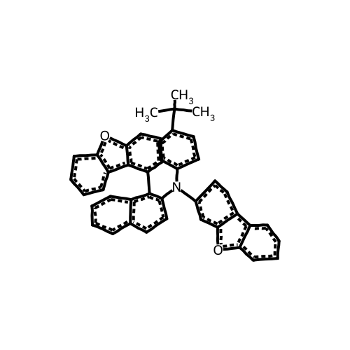 CC(C)(C)c1ccc(N(c2ccc3c(c2)oc2ccccc23)c2ccc3ccccc3c2-c2cccc3oc4ccccc4c23)cc1